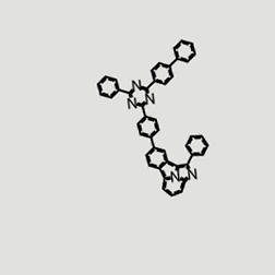 c1ccc(-c2ccc(-c3nc(-c4ccccc4)nc(-c4ccc(-c5ccc6c(c5)c5c(-c7ccccc7)nc7cccc6n75)cc4)n3)cc2)cc1